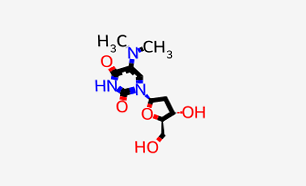 CN(C)c1cn([C@H]2C[C@H](O)[C@@H](CO)O2)c(=O)[nH]c1=O